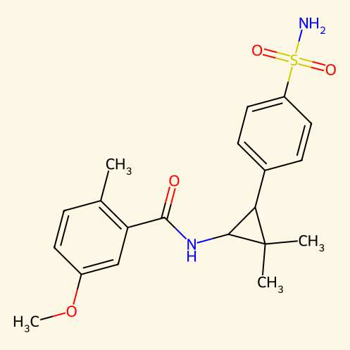 COc1ccc(C)c(C(=O)NC2C(c3ccc(S(N)(=O)=O)cc3)C2(C)C)c1